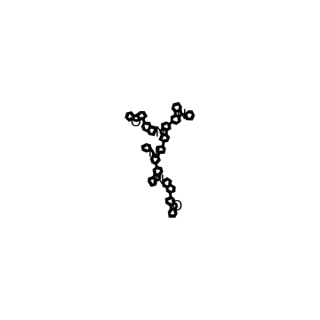 c1ccc(-n2c3ccccc3c3cc(-c4ccc5c(c4)c4ccc(-c6ccc7c8cc(-c9ccc%10c(c9)c9ccccc9n%10-c9ccc%10ccc(-c%11ccc%12c(c%11)oc%11ccccc%11%12)cc%10c9)ccc8n(-c8ccccc8)c7c6)cc4n5-c4ccc5ccc(-c6cccc7c6oc6ccccc67)cc5c4)ccc32)cc1